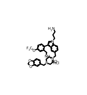 Cl.Cl.NCCCn1cc(-c2ccc(OC(F)(F)F)cc2CN)c2cc(CN3CCN(Cc4ccc5c(c4)OCO5)CC3)ccc21